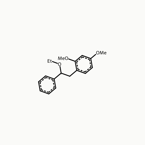 CCO[C](Cc1ccc(OC)cc1OC)c1ccccc1